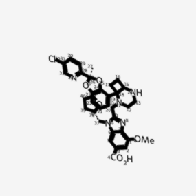 COc1cc(C(=O)O)cc2c1nc(CN1CCNC3CCC31c1cccc3c1O[C@](C)(c1ccc(Cl)cn1)O3)n2C[C@@H]1CCCO1